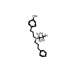 [2H]C([2H])([2H])C([2H])([2H])N(CCCc1ccccc1)CCCc1ccc(O)cc1